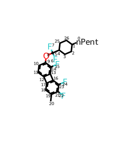 CCCCCC1CCC(C(F)(F)Oc2ccc3c(c2F)-c2c-3cc(C)c(F)c2F)CC1